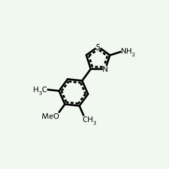 COc1c(C)cc(-c2csc(N)n2)cc1C